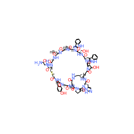 CCCC[C@H]1C(=O)N(C)[C@@H](CCCC)C(=O)N[C@@H](C)C(=O)N[C@H](C(=O)NCC(N)=O)CSCC(=O)N[C@H]2Cc3ccc(O)cc3N(C2=O)[C@@H](C)C(=O)N[C@H]2CC(=O)NCCC[C@H](NC(=O)[C@H](Cc3cnc[nH]3)NC(=O)[C@@H]3CCCN3C2=O)C(=O)N2C[C@H](O)C[C@H]2C(=O)N[C@@H](Cc2c[nH]c3ccccc23)C(=O)N[C@@H](CO)C(=O)N[C@@H](Cc2c[nH]c3ccccc23)C(=O)N1C